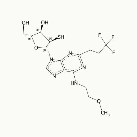 COCCNc1nc(CCC(F)(F)F)nc2c1ncn2[C@@H]1O[C@H](CO)[C@@H](O)[C@H]1S